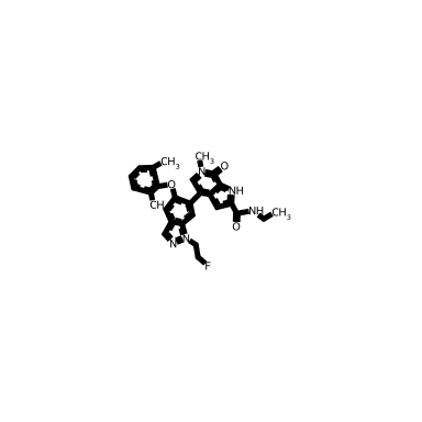 CCNC(=O)c1cc2c(-c3cc4c(cnn4CCF)cc3Oc3c(C)cccc3C)cn(C)c(=O)c2[nH]1